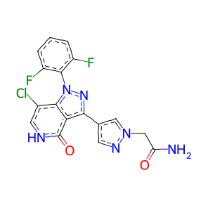 NC(=O)Cn1cc(-c2nn(-c3c(F)cccc3F)c3c(Cl)c[nH]c(=O)c23)cn1